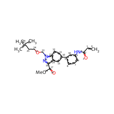 C=CC(=O)Nc1cccc(-c2ccc3c(c2)c(C(=O)OC)nn3COCC[Si](C)(C)C)c1